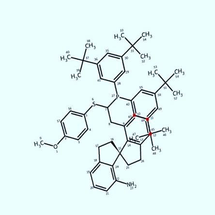 COc1ccc(SC(Cc2cccc3c2[C@]2(CCc4cccc(N)c42)CC3)P(c2cc(C(C)(C)C)cc(C(C)(C)C)c2)c2cc(C(C)(C)C)cc(C(C)(C)C)c2)cc1